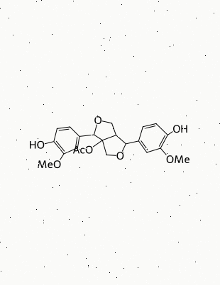 COc1cc(C2OCC3(OC(C)=O)C(c4ccc(O)c(OC)c4)OCC23)ccc1O